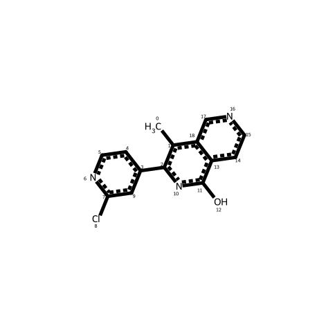 Cc1c(-c2ccnc(Cl)c2)nc(O)c2ccncc12